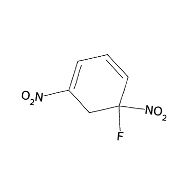 O=[N+]([O-])C1=CC=CC(F)([N+](=O)[O-])C1